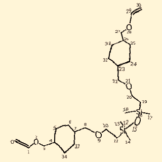 C=COCC1CCC(COCC[Si](C)(C)O[Si](C)(C)CCOCC2CCC(COC=C)CC2)CC1